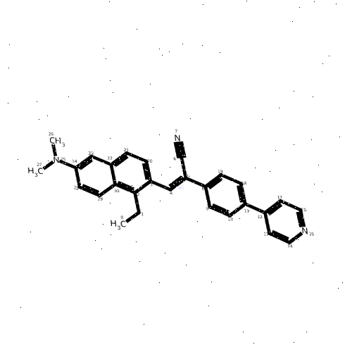 CCc1c(/C=C(\C#N)c2ccc(-c3ccncc3)cc2)ccc2cc(N(C)C)ccc12